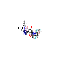 CC[C@@H](C)OC(O)c1ccc(NC(=O)C2(c3ccc(OC(F)(F)F)cc3F)CC2)cc1-c1nnn[nH]1